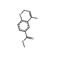 COC(=O)c1ccc2c(c1)C(C)=CCO2